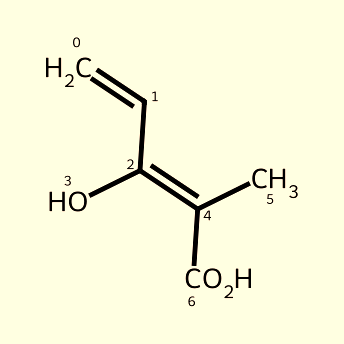 C=CC(O)=C(C)C(=O)O